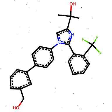 CC(C)(O)c1cn(-c2ccc(-c3cccc(CO)c3)cc2)c(-c2ccccc2C(F)(F)F)n1